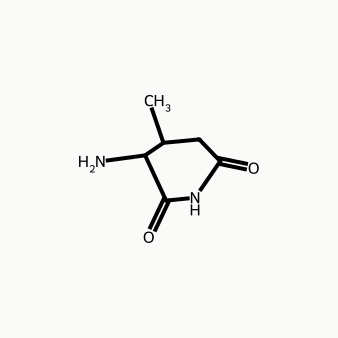 CC1CC(=O)NC(=O)C1N